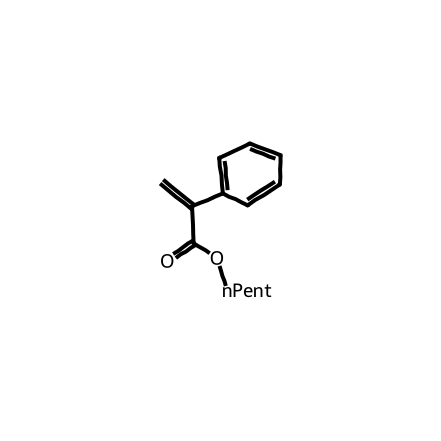 C=C(C(=O)OCCCCC)c1ccccc1